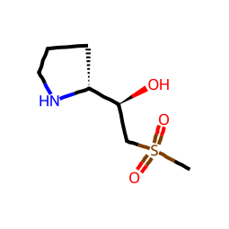 CS(=O)(=O)C[C@H](O)[C@H]1CCCN1